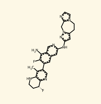 Cc1c(-c2cc3cc(Nc4cc5n(n4)Cc4nccn4CC5)ncc3c(N)c2F)cnc2c1NCC[C@H]2F